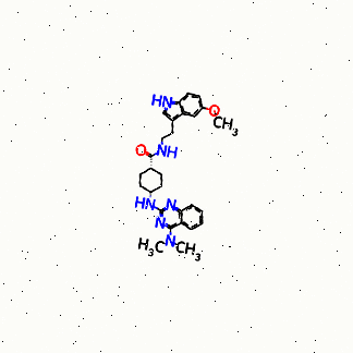 COc1ccc2[nH]cc(CCNC(=O)[C@H]3CC[C@@H](Nc4nc(N(C)C)c5ccccc5n4)CC3)c2c1